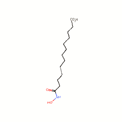 O=C(O)CCCCCCCCCCCC(=O)NO